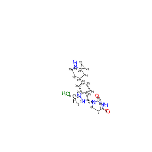 Cl.Cn1nc(N2CCC(=O)NC2=O)c2ccc(C3CCNC4(CC4)C3)cc21